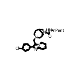 CCCCCNC(=O)N1CC2CCN(Cc3c(-c4ccc(Cl)cc4)nc4ccccn34)CC1C2